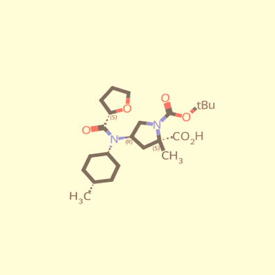 CC(C)(C)OC(=O)N1C[C@H](N(C(=O)[C@@H]2CCCO2)[C@H]2CC[C@@H](C)CC2)C[C@@]1(C)C(=O)O